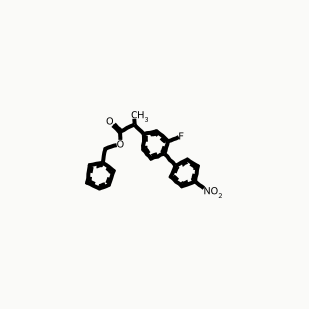 CC(C(=O)OCc1ccccc1)c1ccc(-c2ccc([N+](=O)[O-])cc2)c(F)c1